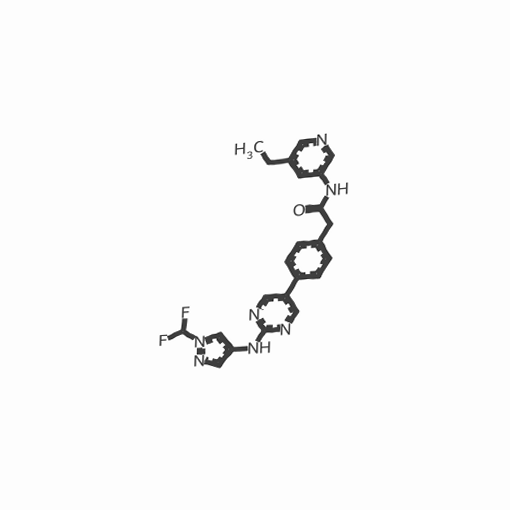 CCc1cncc(NC(=O)Cc2ccc(-c3cnc(Nc4cnn(C(F)F)c4)nc3)cc2)c1